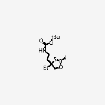 CCC1(CCNC(=O)OC(C)(C)C)COB(I)S1